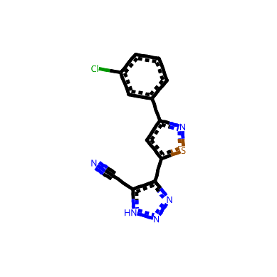 N#Cc1[nH]nnc1-c1cc(-c2cccc(Cl)c2)ns1